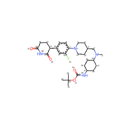 CN(CC1CCN(c2ccc(C3CCC(=O)NC3=O)cc2F)CC1)C1CCC(NC(=O)OC(C)(C)C)CC1